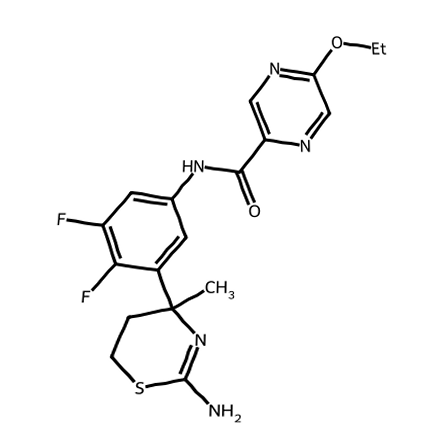 CCOc1cnc(C(=O)Nc2cc(F)c(F)c(C3(C)CCSC(N)=N3)c2)cn1